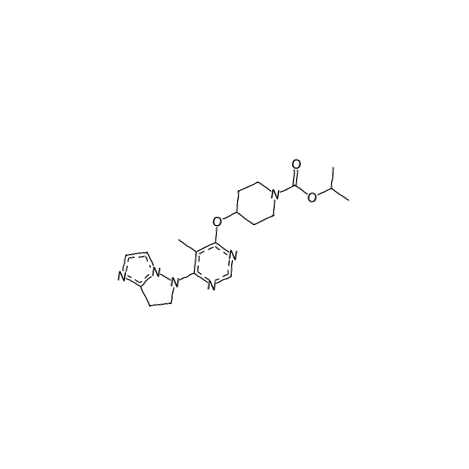 Cc1c(OC2CCN(C(=O)OC(C)C)CC2)ncnc1N1CCc2nccn21